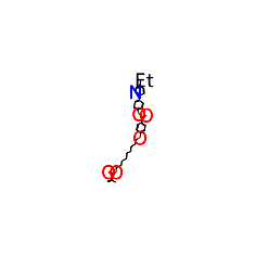 C=C(C)C(=O)OCCCCCCCCCOc1ccc(C(=O)Oc2ccc(-c3ccc(CC)cn3)cc2)cc1